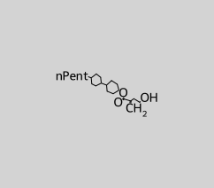 C=C(CCO)C(=O)OC1CCC(C2CCC(CCCCC)CC2)CC1